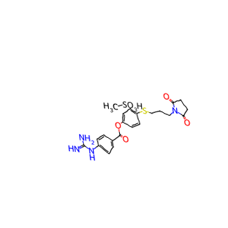 CS(=O)(=O)O.N=C(N)Nc1ccc(C(=O)Oc2ccc(SCCCN3C(=O)CCC3=O)cc2)cc1